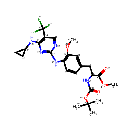 COC(=O)C(Cc1ccc(Nc2ncc(C(F)(F)F)c(NC3CC3)n2)c(OC)c1)NC(=O)OC(C)(C)C